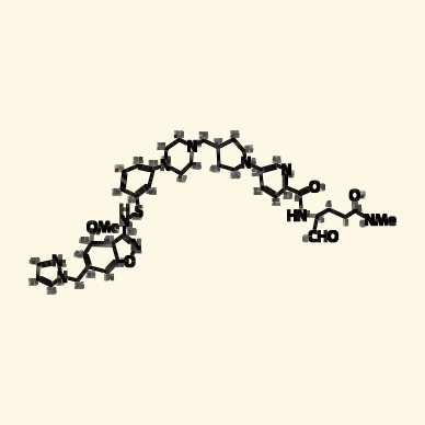 CNC(=O)CCC(C=O)NC(=O)c1ccc(N2CCC(CN3CCN(c4cccc(SNc5noc6cc(Cn7cccn7)cc(OC)c56)c4)CC3)CC2)cn1